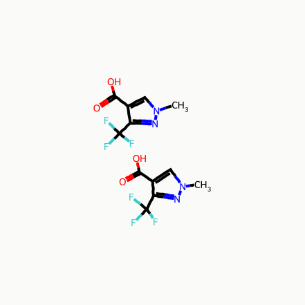 Cn1cc(C(=O)O)c(C(F)(F)F)n1.Cn1cc(C(=O)O)c(C(F)(F)F)n1